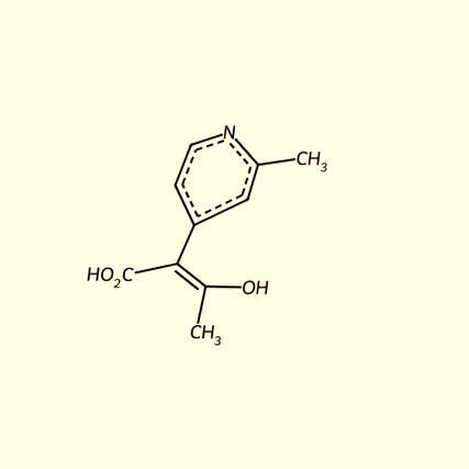 C/C(O)=C(\C(=O)O)c1ccnc(C)c1